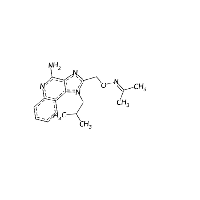 CC(C)=NOCc1nc2c(N)nc3ccccc3c2n1CC(C)C